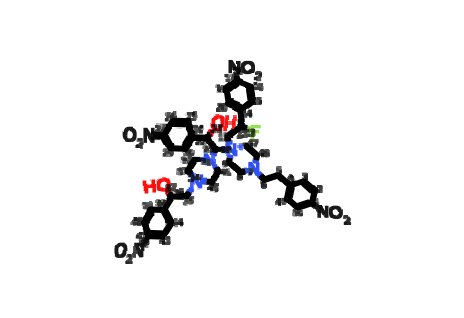 O=[N+]([O-])c1ccc(CCN2CC[N+](CC(F)c3ccc([N+](=O)[O-])cc3)(C(C(O)c3ccc([N+](=O)[O-])cc3)N3CCN(CC(O)c4ccc([N+](=O)[O-])cc4)CC3)CC2)cc1